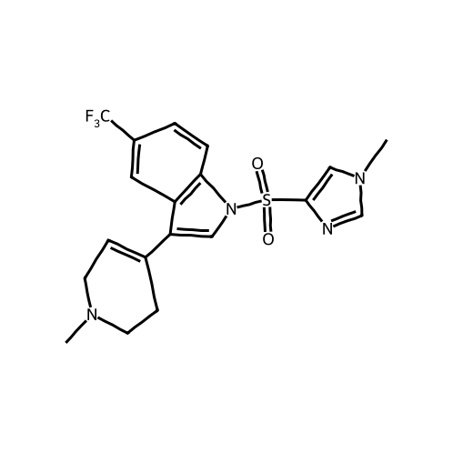 CN1CC=C(c2cn(S(=O)(=O)c3cn(C)cn3)c3ccc(C(F)(F)F)cc23)CC1